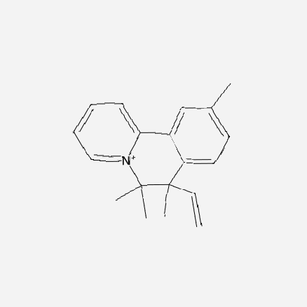 C=CC1(C)c2ccc(C)cc2-c2cccc[n+]2C1(C)C